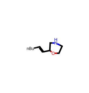 CCCCC=CC1CNCCO1